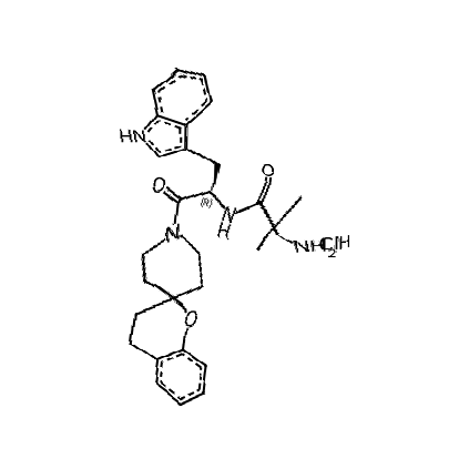 CC(C)(N)C(=O)N[C@H](Cc1c[nH]c2ccccc12)C(=O)N1CCC2(CCc3ccccc3O2)CC1.Cl